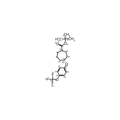 CC(C)(C)OC(=O)N1CCC[C@@H](Oc2ccc(OC(F)(F)F)cc2)CC1